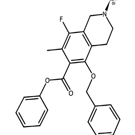 CC[C@H](C)N1CCc2c(c(F)c(C)c(C(=O)Oc3ccccc3)c2OCc2ccccc2)C1